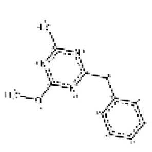 COc1nc(C)nc(Cc2ccccc2)n1